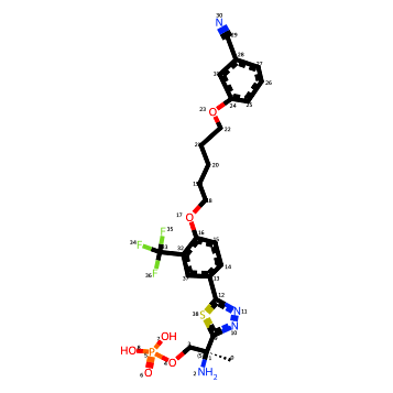 C[C@](N)(COP(=O)(O)O)c1nnc(-c2ccc(OCCCCCOc3cccc(C#N)c3)c(C(F)(F)F)c2)s1